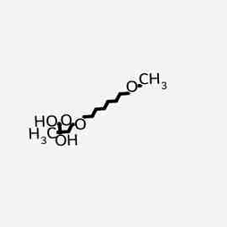 CCOCCCCCCCCOCCC(C)(O)C(=O)O